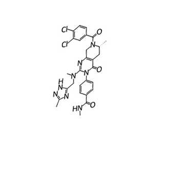 CNC(=O)c1ccc(-n2c(N(C)Cc3nc(C)n[nH]3)nc3c(c2=O)C[C@@H](C)N(C(=O)c2ccc(Cl)c(Cl)c2)C3)cc1